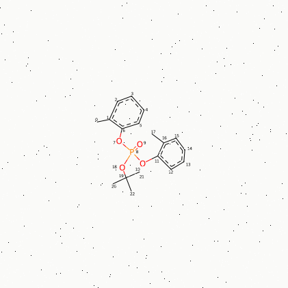 Cc1ccccc1OP(=O)(Oc1ccccc1C)OC(C)(C)C